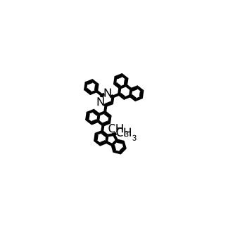 CC1(C)c2ccccc2-c2cccc(-c3ccc(-c4cc(-c5cc6ccccc6c6ccccc56)nc(-c5ccccc5)n4)c4ccccc34)c21